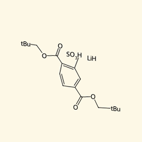 CC(C)(C)COC(=O)c1ccc(C(=O)OCC(C)(C)C)c(S(=O)(=O)O)c1.[LiH]